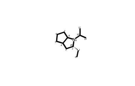 CC[C@@H]1CC2CCCC2N1C(C)C